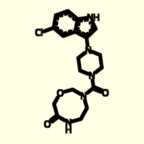 O=C1COCN(C(=O)N2CCN(c3c[nH]c4ccc(Cl)cc34)CC2)CCN1